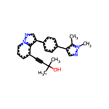 Cc1c(-c2ccc(-c3cnn4cccc(C#CC(C)(C)O)c34)cc2)cnn1C